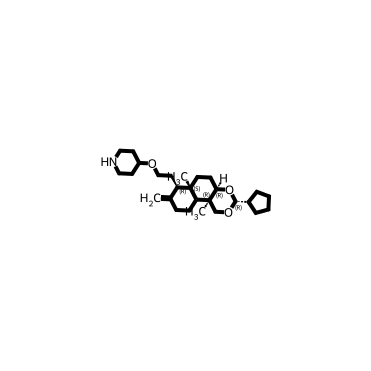 C=C1CCC2[C@]3(C)CO[C@@H](C4CCCC4)O[C@@H]3CC[C@@]2(C)[C@@H]1CCOC1CCNCC1